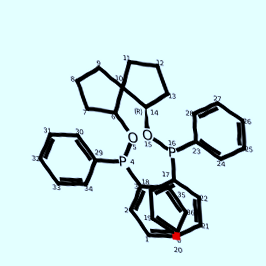 c1ccc(P(OC2CCCC23CCC[C@H]3OP(c2ccccc2)c2ccccc2)c2ccccc2)cc1